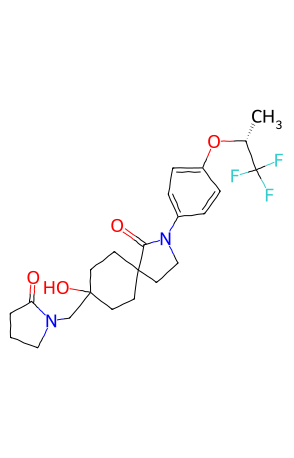 C[C@@H](Oc1ccc(N2CCC3(CCC(O)(CN4CCCC4=O)CC3)C2=O)cc1)C(F)(F)F